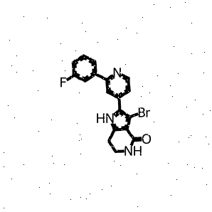 O=C1NCCc2[nH]c(-c3ccnc(-c4cccc(F)c4)c3)c(Br)c21